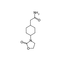 NC(=O)CC1CCC(N2CCOC2=O)CC1